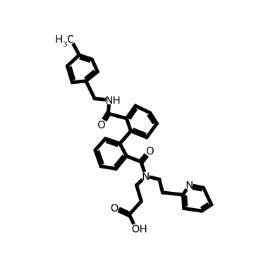 Cc1ccc(CNC(=O)c2ccccc2-c2ccccc2C(=O)N(CCC(=O)O)CCc2ccccn2)cc1